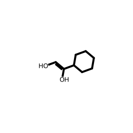 O/C=C(\O)C1CCCCC1